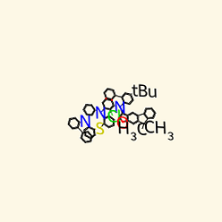 CC(C)(C)c1ccc(N(c2cccc(N3c4cccc(c4)N(c4ccccc4-c4ccccc4)c4ccccc4Sc4ccccc43)c2Cl)c2coc3cc4c(cc23)-c2ccccc2C4(C)C)c(-c2ccccc2)c1